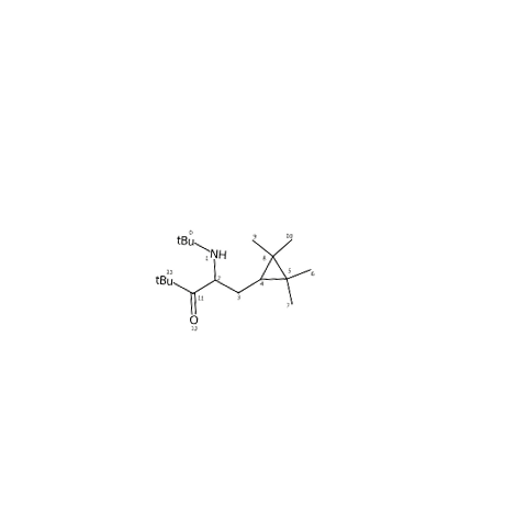 CC(C)(C)NC(CC1C(C)(C)C1(C)C)C(=O)C(C)(C)C